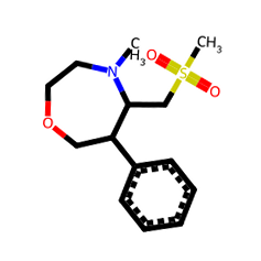 CN1CCOCC(c2ccccc2)C1CS(C)(=O)=O